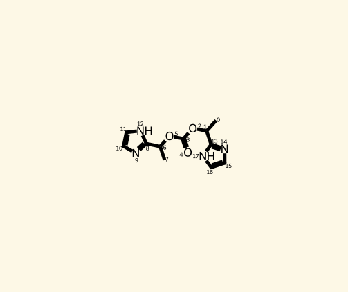 CC(OC(=O)OC(C)c1ncc[nH]1)c1ncc[nH]1